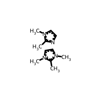 Cc1n(C)cc[n+]1C.Cc1nccn1C